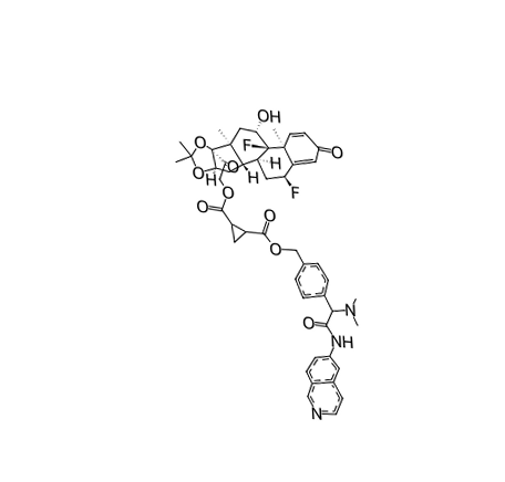 CN(C)C(C(=O)Nc1ccc2cnccc2c1)c1ccc(COC(=O)C2CC2C(=O)OCC(=O)[C@@]23OC(C)(C)O[C@@H]2C[C@H]2[C@@H]4C[C@H](F)C5=CC(=O)C=C[C@]5(C)[C@@]4(F)[C@@H](O)C[C@@]23C)cc1